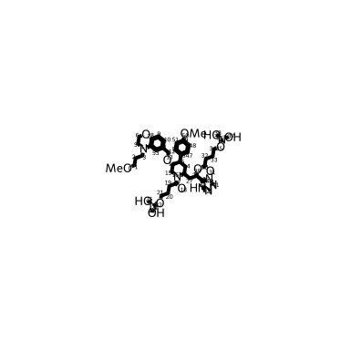 COCCCN1CCOc2ccc(COC3CN(C(=O)CCCON(O)O)C(CC(OC(=O)CCCON(O)O)c4nnn[nH]4)CC3c3ccc(OC)cc3)cc21